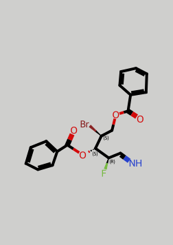 N=C[C@@H](F)[C@H](OC(=O)c1ccccc1)[C@@H](Br)COC(=O)c1ccccc1